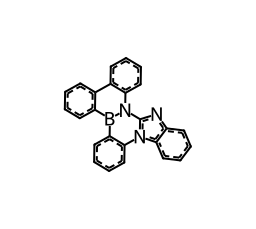 c1ccc2c(c1)B1c3ccccc3-n3c(nc4ccccc43)N1c1ccccc1-2